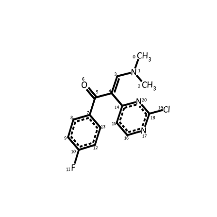 CN(C)C=C(C(=O)c1ccc(F)cc1)c1ccnc(Cl)n1